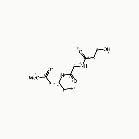 COC(=O)C[C@@H](CF)NC(=O)CNC(=O)CCO